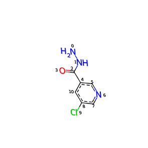 NNC(=O)c1cncc(Cl)c1